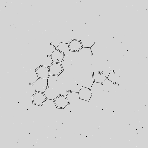 Cc1ccc2c(NS(=O)(=O)Cc3ccc(C(F)F)cc3)c(F)ccc2c1Oc1ncccc1-c1ccnc(NC2CCCN(C(=O)OC(C)(C)C)C2)n1